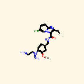 CCc1nc2ccc(Cl)cn2c1C(=O)NCc1ccc(N(N)CCN)c(OC)c1